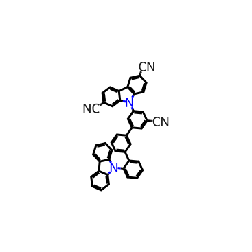 N#Cc1cc(-c2cccc(-c3ccccc3-n3c4ccccc4c4ccccc43)c2)cc(-n2c3ccc(C#N)cc3c3ccc(C#N)cc32)c1